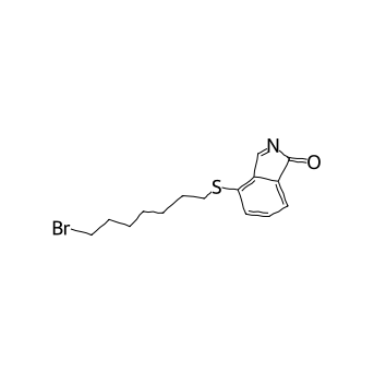 O=C1N=Cc2c(SCCCCCCCBr)cccc21